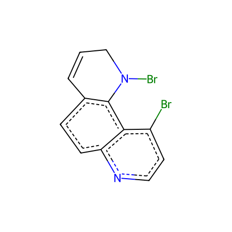 Brc1ccnc2ccc3c(c12)N(Br)CC=C3